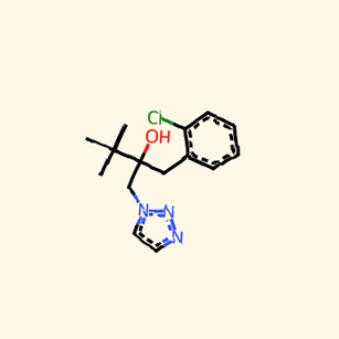 CC(C)(C)C(O)(Cc1ccccc1Cl)Cn1ccnn1